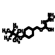 CC(C)(C)[Si](C)(C)OC1CCC(COC(O)=[SH]NN)CC1